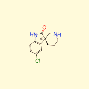 O=C1Nc2ccc(Cl)cc2[C@]12CCCNC2